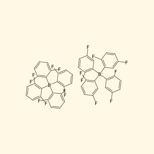 Fc1ccc(F)c([B-](c2cc(F)ccc2F)(c2cc(F)ccc2F)c2cc(F)ccc2F)c1.Fc1cccc(F)c1[B-](c1c(F)cccc1F)(c1c(F)cccc1F)c1c(F)cccc1F